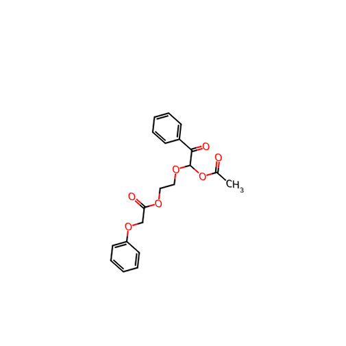 CC(=O)OC(OCCOC(=O)COc1ccccc1)C(=O)c1ccccc1